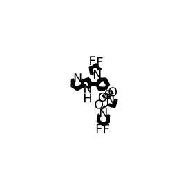 O=C([C@@H]1CCN1S(=O)(=O)c1ccc(N2CCC(F)(F)C2)c(-c2cc3ncccc3[nH]2)c1)N1CCC(F)(F)CC1